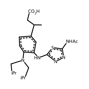 CC(=O)Nc1nnc(Nc2cc(C(C)CC(=O)O)ccc2N(CC(C)C)CC(C)C)s1